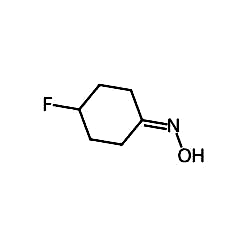 ON=C1CCC(F)CC1